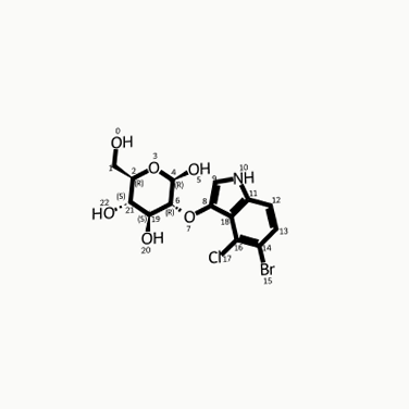 OC[C@H]1O[C@@H](O)[C@H](Oc2c[nH]c3ccc(Br)c(Cl)c23)[C@@H](O)[C@@H]1O